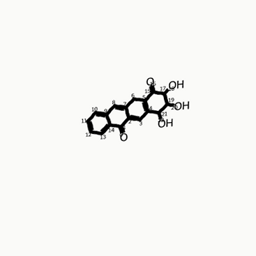 O=C1C2=CC3=C(CC2=Cc2ccccc21)C(=O)C(O)C(O)C3O